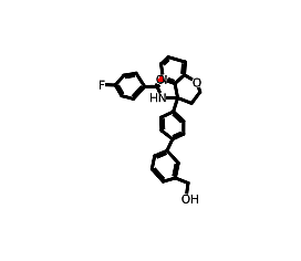 O=C(NC1(c2ccc(-c3cccc(CO)c3)cc2)CCOc2cccnc21)c1ccc(F)cc1